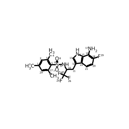 Cc1cc(C)c(S(=O)(=O)NC(Cc2c[nH]c3c(N)c(F)ccc23)C(F)(F)F)c(C)c1